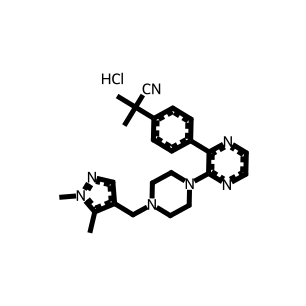 Cc1c(CN2CCN(c3nccnc3-c3ccc(C(C)(C)C#N)cc3)CC2)cnn1C.Cl